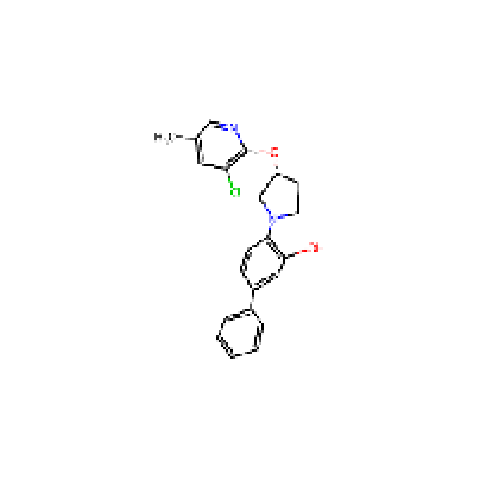 Cc1cnc(O[C@@H]2CCN(c3ccc(-c4ccccc4)cc3O)C2)c(Cl)c1